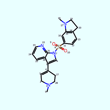 CN1CC=C(c2cn(S(=O)(=O)c3ccc4c(c3)N(C)CC4)c3ncccc23)CC1